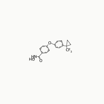 O=C(NO)c1ccc(Oc2ccc(C3(C(F)(F)F)CC3)cc2)cc1